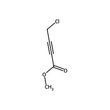 COC(=O)C#CCCl